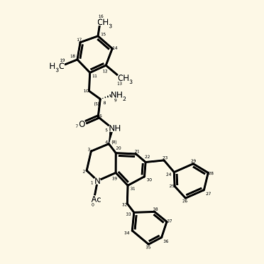 CC(=O)N1CC[C@@H](NC(=O)[C@@H](N)Cc2c(C)cc(C)cc2C)c2cc(Cc3ccccc3)cc(Cc3ccccc3)c21